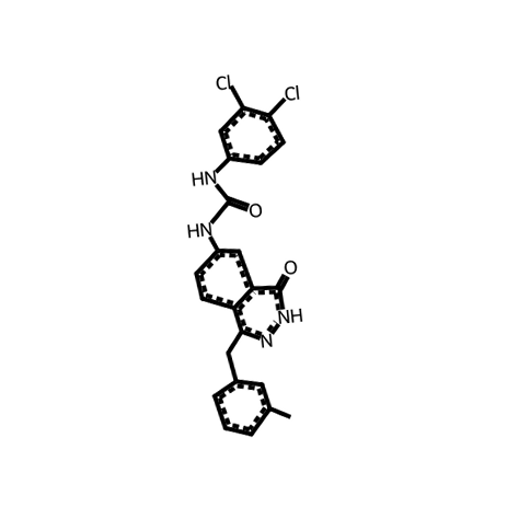 Cc1cccc(Cc2n[nH]c(=O)c3cc(NC(=O)Nc4ccc(Cl)c(Cl)c4)ccc23)c1